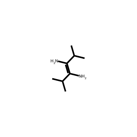 CC(C)/C(N)=C(\N)C(C)C